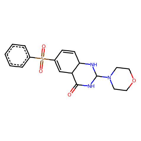 O=C1NC(N2CCOCC2)NC2C=CC(S(=O)(=O)c3ccccc3)=CC12